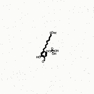 CCCCCCCCCCCCCCCCCCc1ccc(I=O)c(O)c1.O=P(O)(O)O